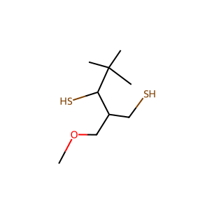 COCC(CS)C(S)C(C)(C)C